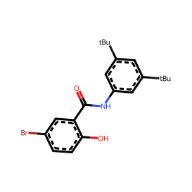 CC(C)(C)c1cc(NC(=O)c2cc(Br)ccc2O)cc(C(C)(C)C)c1